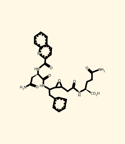 NC(=O)CC[C@H](NC(=O)CC1OC1C(Cc1ccccc1)NC(=O)[C@@H](CC(N)=O)NC(=O)c1ccc2ccccc2n1)C(=O)O